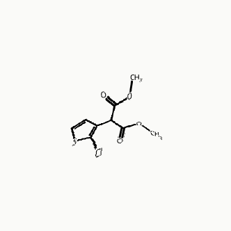 COC(=O)C(C(=O)OC)c1ccsc1Cl